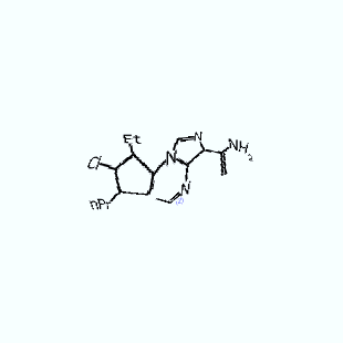 C=C(N)C1N=CN(C2CC(CCC)C(Cl)C2CC)C1/N=C\C